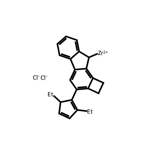 CCC1=C(c2cc3c(c4c2CC4)[CH]([Zr+2])c2ccccc2-3)C(CC)C=C1.[Cl-].[Cl-]